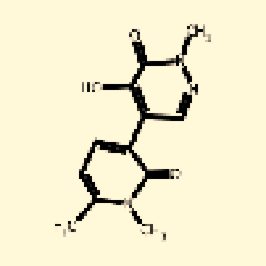 Cn1ncc(-c2ccc(C(F)(F)F)n(C)c2=O)c(O)c1=O